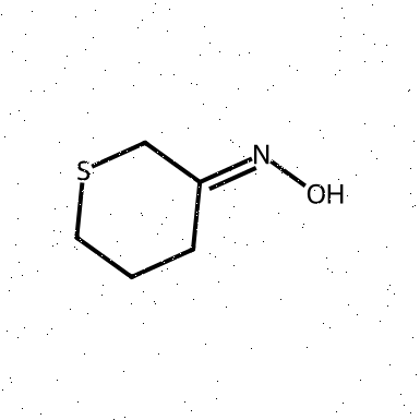 ON=C1CCCSC1